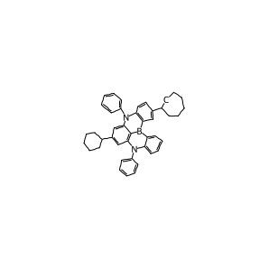 c1ccc(N2c3ccccc3B3c4cc(C5CCCCCC5)ccc4N(c4ccccc4)c4cc(C5CCCCC5)cc2c43)cc1